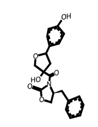 O=C1OC[C@H](Cc2ccccc2)N1C(=O)C1(O)COC(c2ccc(O)cc2)C1